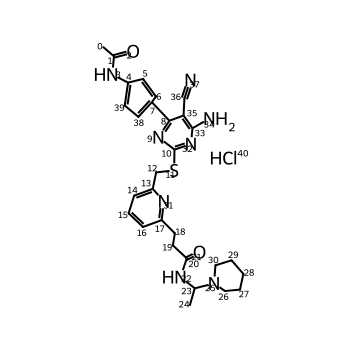 CC(=O)Nc1ccc(-c2nc(SCc3cccc(CCC(=O)NC(C)N4CCCCC4)n3)nc(N)c2C#N)cc1.Cl